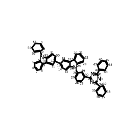 C1=CC(n2c3ccccc3c3cc(-c4ccc5c(c4)c4ccccc4n5-c4cccc(-c5nc(-c6ccccc6)nc(-c6ccccc6)n5)c4)ccc32)=CCC1